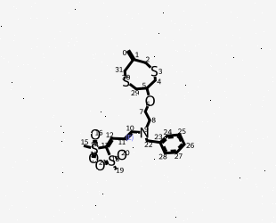 C=C1CSCC(OCCN(/C=C/C=C(S(C)(=O)=O)S(C)(=O)=O)Cc2ccccc2)CSC1